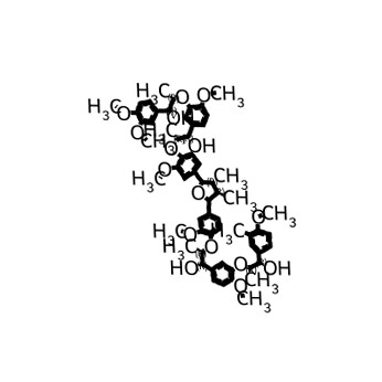 COc1ccc([C@@H](O)[C@@H](C)Oc2cc([C@@H](O)[C@@H](C)Oc3ccc(C4OC(c5ccc(O[C@H](C)[C@H](O)c6ccc(OC)c(O[C@H](C)[C@H](O)c7ccc(OC)c(OC)c7)c6)c(OC)c5)[C@H](C)[C@H]4C)cc3OC)ccc2OC)cc1C